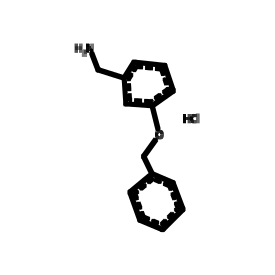 Cl.NCc1cccc(OCc2ccccc2)c1